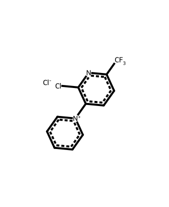 FC(F)(F)c1ccc(-[n+]2ccccc2)c(Cl)n1.[Cl-]